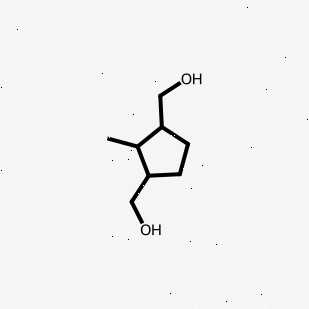 CC1C(CO)CCC1CO